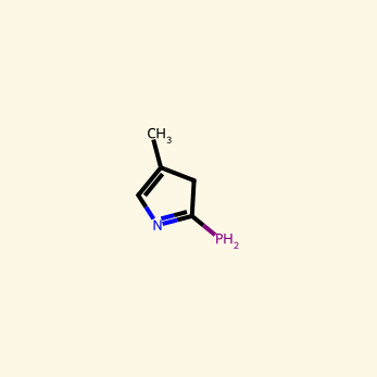 CC1=CN=C(P)C1